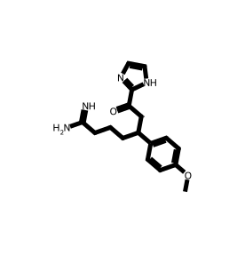 COc1ccc(C([CH]C(=O)c2ncc[nH]2)CCCC(=N)N)cc1